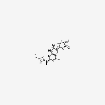 CCN1CC(Nc2cc(C)nc(NC(=N)N(C)c3ccc(Cl)c(Cl)c3)n2)C1